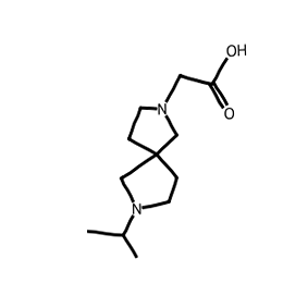 CC(C)N1CCC2(CCN(CC(=O)O)C2)C1